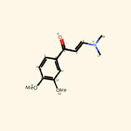 COc1ccc(C(=O)C=CN(C)C)cc1OC